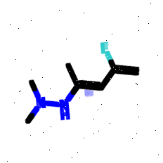 C=C(F)/C=C(\C)NN(C)C